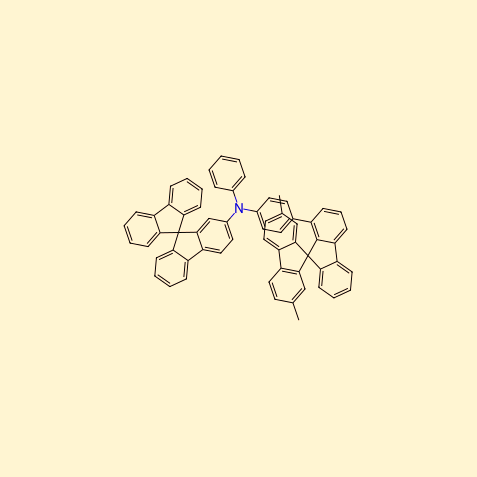 Cc1ccc2c(c1)C1(c3cc(C)ccc3-2)c2ccccc2-c2cccc(-c3ccc(N(c4ccccc4)c4ccc5c(c4)C4(c6ccccc6-c6ccccc64)c4ccccc4-5)cc3)c21